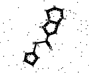 O=C(Nc1cccs1)c1cc2ncccn2n1